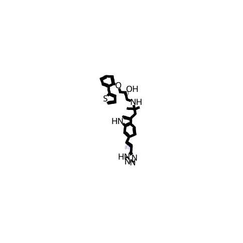 CC(C)(Cc1c[nH]c2cc(/C=C/c3nnn[nH]3)ccc12)NC[C@H](O)COc1ccccc1-c1cccs1